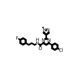 Cn1cc(-c2nc(C(=O)NCCCc3ccc(F)cc3)cc(-c3ccc(Cl)cc3)n2)cn1